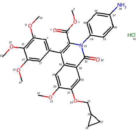 COC(=O)c1c(-c2cc(OC)c(OC)c(OC)c2)c2cc(OC)c(OCC3CC3)cc2c(=O)n1-c1ccc(N)cc1.Cl